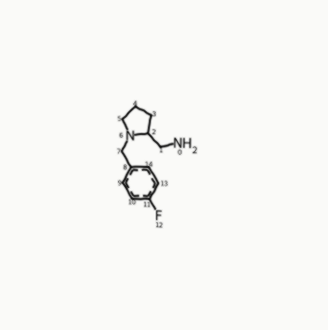 NCC1CCCN1Cc1ccc(F)cc1